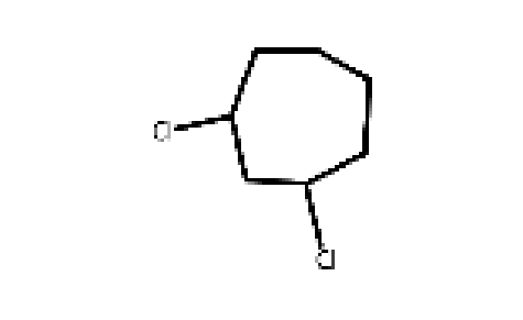 ClC1CCCCC(Cl)C1